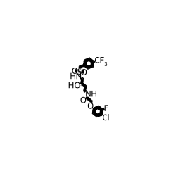 O=C(COc1ccc(Cl)c(F)c1)NCC[C@H](O)CNS(=O)(=O)Cc1ccc(C(F)(F)F)cc1